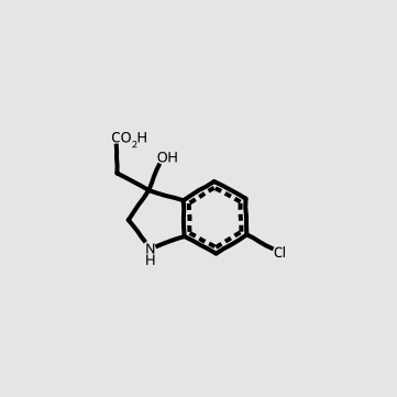 O=C(O)CC1(O)CNc2cc(Cl)ccc21